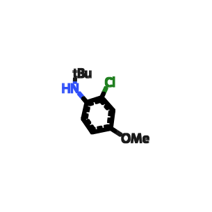 COc1ccc(NC(C)(C)C)c(Cl)c1